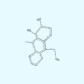 Cc1c2ccccc2c(CO)c2ccc(O)c(O)c12